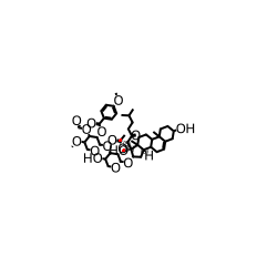 COc1ccc(C(=O)OC2C(OC3C(O)COC(OC4C[C@H]5C6CC=C7CC(O)CCC7(C)C6CCC5(C)[C@@]4(O)[C@H](C)C(=O)CCC(C)C)C3OC(C)=O)OCC(OC)C2OC=O)cc1